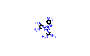 Nc1ccc(Nc2nc(N3C[C@H](N)C[C@H](N)C3)nc(N3C[C@@H](N)[C@@H](N)C3)n2)cc1